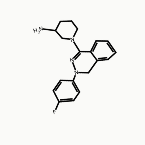 NC1CCCN(C2=NN(c3ccc(F)cc3)Cc3ccccc32)C1